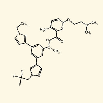 CCn1ccc(-c2cc(-c3cnn(CC(F)(F)F)c3)cc([C@@H](C)NC(=O)c3cc(OCCN(C)C)ccc3C)c2)n1